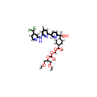 CCOCC(COCC)OC(=O)OCOC(=O)[C@H]1CC[C@H]([C@@](C)(O)c2ccc(-c3cc(C)cc(Nc4cc(C(F)F)ccn4)n3)cn2)CC1